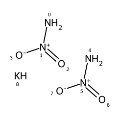 N[N+](=O)[O-].N[N+](=O)[O-].[KH]